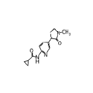 CN1CCC(c2ccc(NC(=O)C3CC3)nc2)C1=O